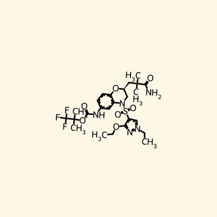 CCOc1nn(CC)cc1S(=O)(=O)N1C[C@H](CC(C)(C)C(N)=O)Oc2ccc(NC(=O)OC(C)(C)C(F)(F)F)cc21